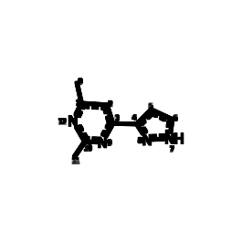 Cc1cc(-c2cc[nH]n2)nc(C)n1